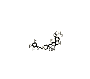 COc1ccc2ncc(Cl)c([C@@H](F)CCC3(CO)CCN(CCSc4cc(F)cc(F)c4F)CC3)c2c1